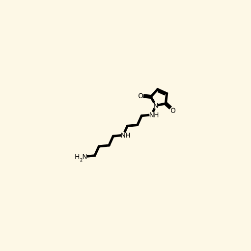 NCCCCNCCCNN1C(=O)C=CC1=O